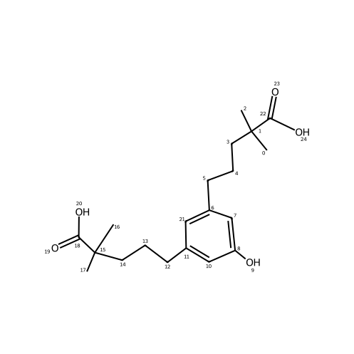 CC(C)(CCCc1cc(O)cc(CCCC(C)(C)C(=O)O)c1)C(=O)O